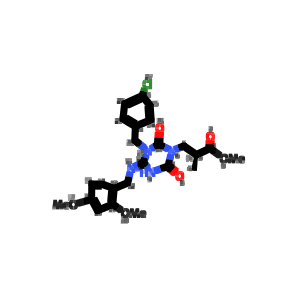 COC(=O)[C@@H](C)Cn1c(=O)[nH]/c(=N\Cc2ccc(OC)cc2OC)n(Cc2ccc(Cl)cc2)c1=O